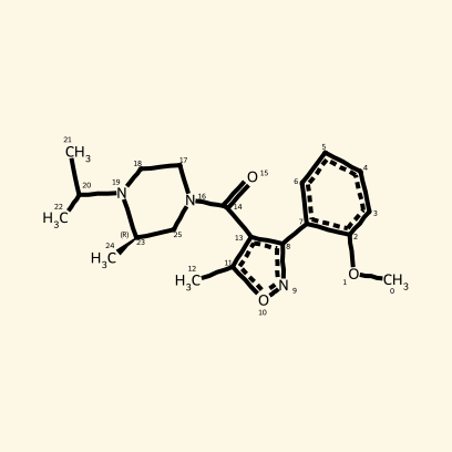 COc1ccccc1-c1noc(C)c1C(=O)N1CCN(C(C)C)[C@H](C)C1